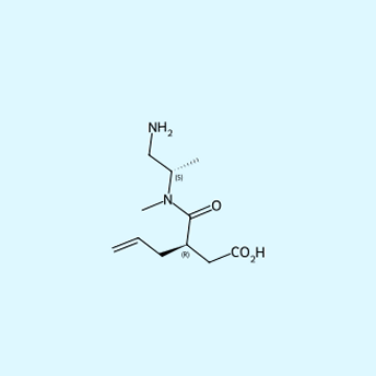 C=CC[C@H](CC(=O)O)C(=O)N(C)[C@@H](C)CN